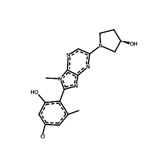 Cc1cc(Cl)cc(O)c1-c1nc2nc(N3CC[C@@H](O)C3)cnc2n1C